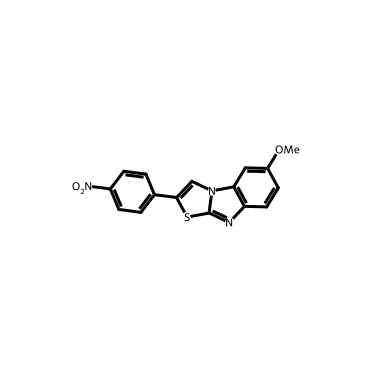 COc1ccc2nc3sc(-c4ccc([N+](=O)[O-])cc4)cn3c2c1